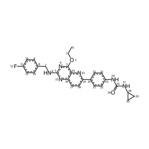 CCOc1nc(NCc2ccc(F)cc2)nc2ccc(-c3ccc(NC(=O)NC4CC4)cc3)nc12